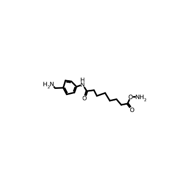 NCc1ccc(NC(=O)CCCCCCC(=O)ON)cc1